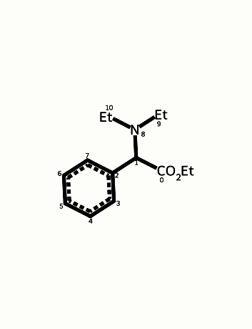 CCOC(=O)C(c1ccccc1)N(CC)CC